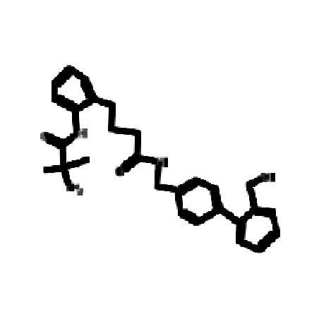 CC(C)(N)C(=O)Nc1ccccc1CCCC(=O)NCc1ccc(-c2ccccc2CO)cc1